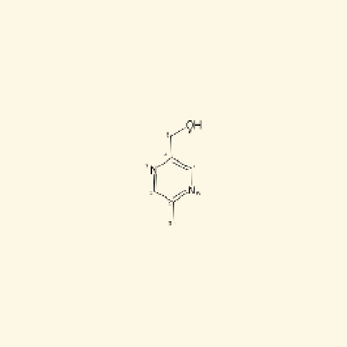 Cc1cnc(CO)cn1